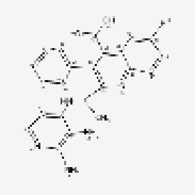 CC(Nc1ncnc(N)c1N)c1nc2ccc(F)cc2c(C(=O)O)c1-c1ccccn1